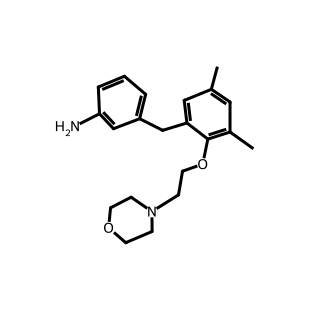 Cc1cc(C)c(OCCN2CCOCC2)c(Cc2cccc(N)c2)c1